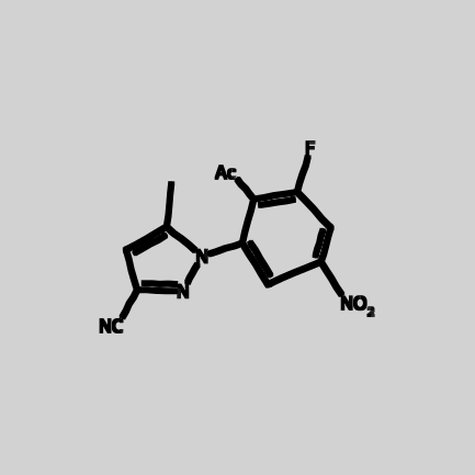 CC(=O)c1c(F)cc([N+](=O)[O-])cc1-n1nc(C#N)cc1C